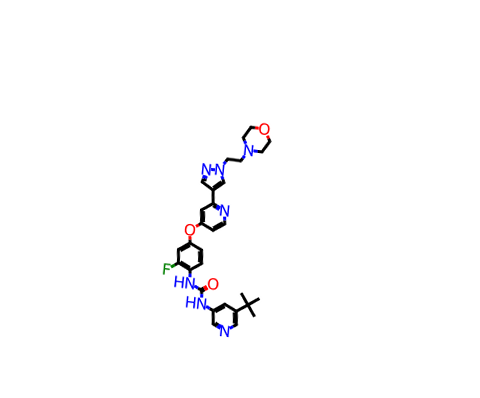 CC(C)(C)c1cncc(NC(=O)Nc2ccc(Oc3ccnc(-c4cnn(CCN5CCOCC5)c4)c3)cc2F)c1